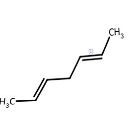 CC=CC/C=C/C